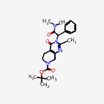 Cc1nc2c(c(=O)n1C(C(=O)N(C)C)c1ccccc1)CCN(C(=O)OC(C)(C)C)C2